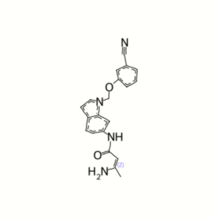 C/C(N)=C/C(=O)Nc1ccc2ccn(COc3cccc(C#N)c3)c2c1